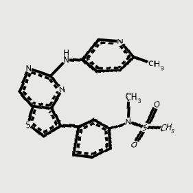 Cc1ccc(Nc2ncc3scc(-c4cccc(N(C)S(C)(=O)=O)c4)c3n2)cn1